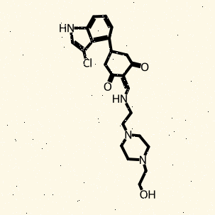 O=C1CC(c2cccc3[nH]cc(Cl)c23)CC(=O)C1=CNCCN1CCN(CCO)CC1